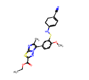 CCOC(=O)c1nn2c(-c3ccc(OC)c(SNC4=CC=C(C#N)CC4)c3)c(C)nc2s1